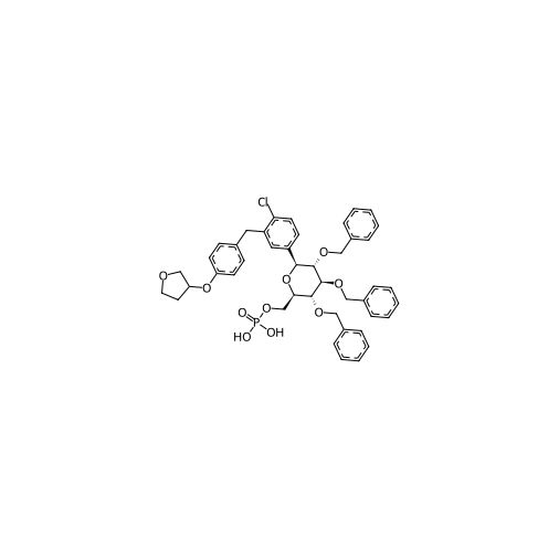 O=P(O)(O)OC[C@H]1O[C@@H](c2ccc(Cl)c(Cc3ccc(OC4CCOC4)cc3)c2)[C@H](OCc2ccccc2)[C@@H](OCc2ccccc2)[C@@H]1OCc1ccccc1